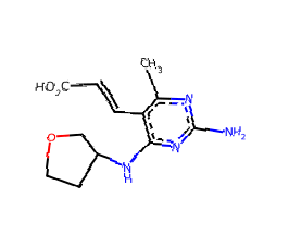 Cc1nc(N)nc(NC2CCOC2)c1/C=C/C(=O)O